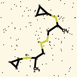 CC(CSSCC(C)SC1CC1)SC1CC1